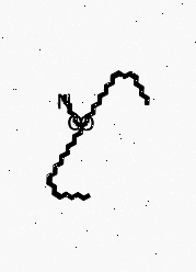 CCCCC/C=C\C/C=C\CCCCCCCCCC(OCCCCCCCC/C=C\C/C=C\CCCCC)OCCCN(C)C